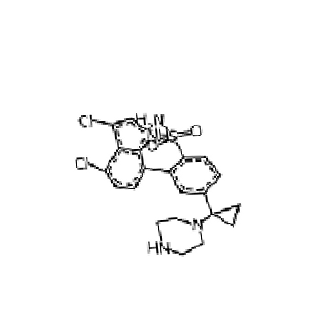 NS(=O)(=O)c1ccc(C2(N3CCNCC3)CC2)cc1-c1ccc(Cl)c2c(Cl)c[nH]c12